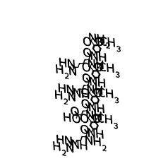 COc1ccc(NC(=O)[C@H](CCCCC(=N)N)NC(=O)c2cc(NC(=O)[C@H](CCCNC(=N)N)NC(=O)c3cc(NC(=O)[C@H](CCC(=O)O)NC(=O)c4cc(NC(=O)[C@@H](N)CCCNC(=N)N)ccc4OC)ccc3OC)ccc2OC)cc1C(N)=O